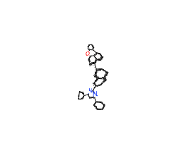 c1ccc(-c2cc(-c3ccccc3)nc(-c3ccc4ccc(-c5ccc6c7c(cccc57)-c5ccccc5O6)cc4c3)n2)cc1